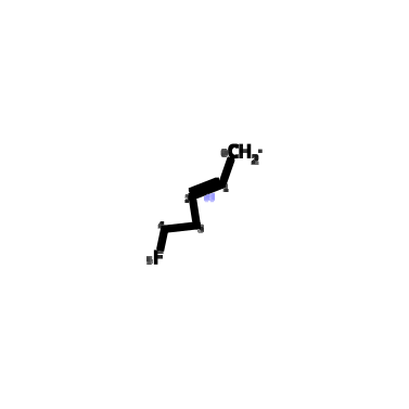 [CH2]/C=C/CCF